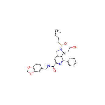 CCCC[S+]([O-])N1Cc2cc(C(=O)NCc3ccc4c(c3)OCO4)nc(-c3ccccc3)c2[C@H]1CCO